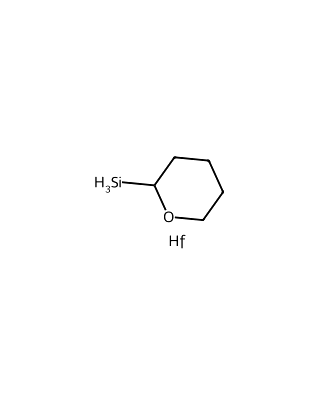 [Hf].[SiH3]C1CCCCO1